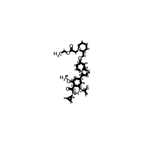 CCOC(=O)CN1CCCCC1COc1ccn2c(-c3cc(OC)c(C(=O)NC4CC4)c(OC(F)F)c3)cnc2c1